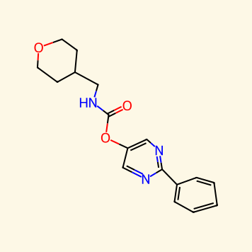 O=C(NCC1CCOCC1)Oc1cnc(-c2ccccc2)nc1